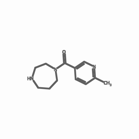 Cc1ccc(C(=O)N2CCCNCC2)cn1